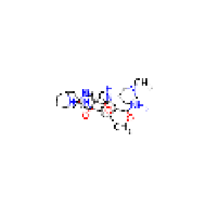 Cc1cc(C(=O)NC2CC3CCC(C2)N3c2ccc(C(=O)N[C@H]3CCCN(C)C3)cn2)c(C)cc1C(N)=O